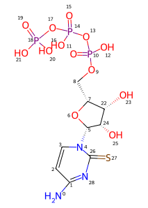 Nc1ccn([C@@H]2O[C@H](COP(=O)(O)OP(=O)(O)OP(=O)(O)O)[C@H](O)[C@@H]2O)c(=S)n1